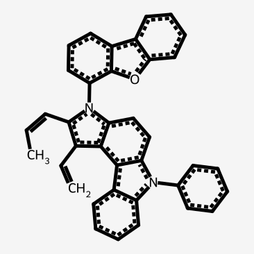 C=Cc1c(/C=C\C)n(-c2cccc3c2oc2ccccc23)c2ccc3c(c4ccccc4n3-c3ccccc3)c12